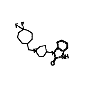 O=c1[nH]c2ccccc2n1C1CCN(CC2CCCC(F)(F)CCC2)CC1